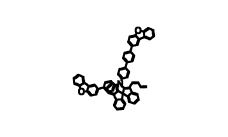 C=C/C=C\C1=C(N(c2ccc(-c3ccc(-c4ccc5oc6ccccc6c5c4)cc3)cc2)c2ccc(-c3ccc4oc5ccccc5c4c3)cc2)C2(c3ccccc31)c1ccccc1-c1ccccc12